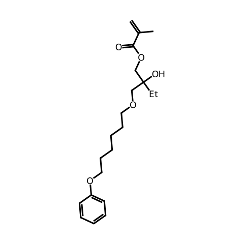 C=C(C)C(=O)OCC(O)(CC)COCCCCCCOc1ccccc1